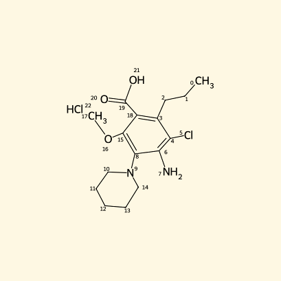 CCCc1c(Cl)c(N)c(N2CCCCC2)c(OC)c1C(=O)O.Cl